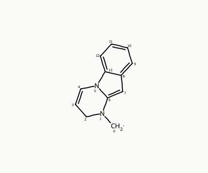 [CH2]N1CC=Cn2c1cc1ccccc12